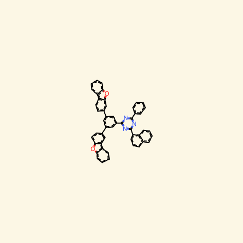 c1ccc(-c2nc(-c3cc(-c4ccc5c(c4)oc4ccccc45)cc(-c4ccc5oc6ccccc6c5c4)c3)nc(-c3cccc4ccccc34)n2)cc1